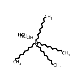 CCCCCCCCCC[N+](CCCCCCCCCC)(CCCCCCCCCC)CCCCCCCCCC.Cl.Cl.Cl